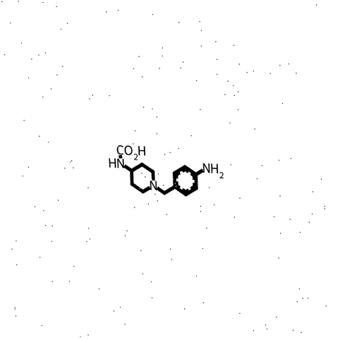 Nc1ccc(CN2CCC(NC(=O)O)CC2)cc1